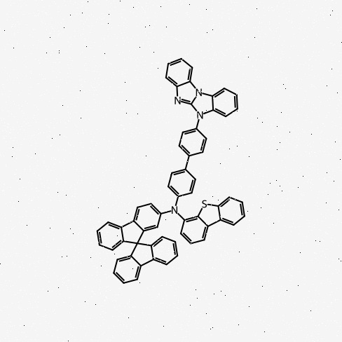 c1ccc2c(c1)-c1ccccc1C21c2ccccc2-c2ccc(N(c3ccc(-c4ccc(-n5c6ccccc6n6c7ccccc7nc56)cc4)cc3)c3cccc4c3sc3ccccc34)cc21